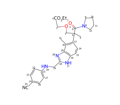 CCOC(=O)COCC(C)(C(=O)N1CCCC1)c1ccc2[nH]c(CNc3ccc(C#N)cc3)nc2c1C